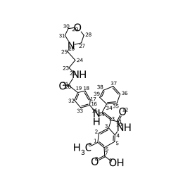 Cc1cc2c(cc1C(=O)O)NC(=O)C2=C(Nc1ccc(C(=O)NCCCN2CCOCC2)cc1)c1ccccc1